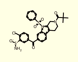 CC(C)(C)C(=O)N1CCc2c(n(S(=O)(=O)c3ccccc3)c3cc(C(=O)c4ccc(Cl)c([S+](N)[O-])c4)ccc23)C1